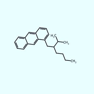 CCCCC(Cc1cccc2cc3ccccc3cc12)C(C)C